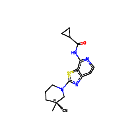 C[C@]1(C#N)CCCN(c2nc3ccnc(NC(=O)C4CC4)c3s2)C1